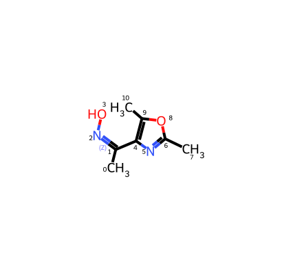 C/C(=N/O)c1nc(C)oc1C